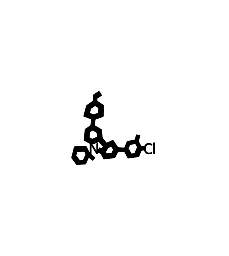 C=Cc1ccc(-c2ccc3c(c2)c2cc(C4=CC=C(Cl)C(C)C4)ccc2n3C2(C)C=CC=CC2)cc1